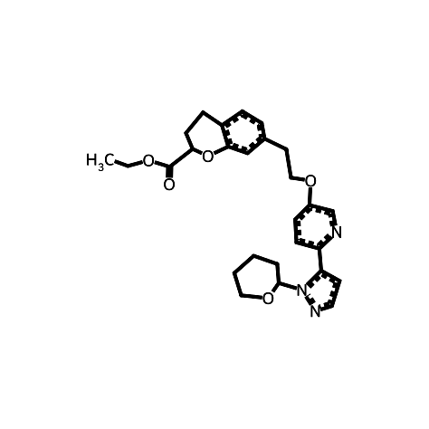 CCOC(=O)C1CCc2ccc(CCOc3ccc(-c4ccnn4C4CCCCO4)nc3)cc2O1